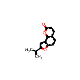 C=C(C)c1cc2c(ccc3ccc(=O)oc32)o1